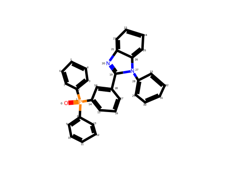 O=P(c1ccccc1)(c1ccccc1)c1cccc(-c2nc3ccccc3n2-c2ccccc2)c1